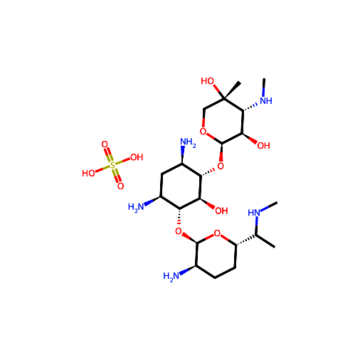 CNC(C)[C@@H]1CC[C@@H](N)[C@@H](O[C@H]2[C@H](O)[C@@H](O[C@H]3OC[C@](C)(O)[C@H](NC)[C@H]3O)[C@H](N)C[C@@H]2N)O1.O=S(=O)(O)O